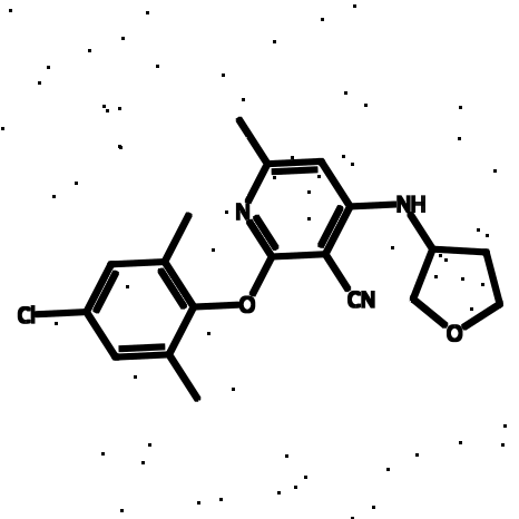 Cc1cc(NC2CCOC2)c(C#N)c(Oc2c(C)cc(Cl)cc2C)n1